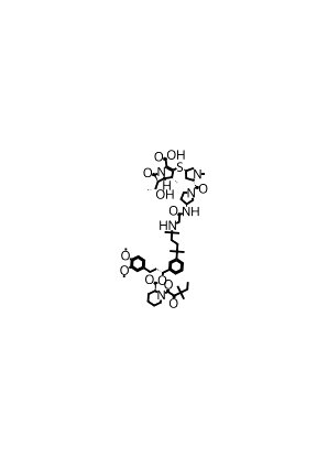 CCC(C)(C)C(=O)C(=O)N1CCCC[C@H]1C(=O)O[C@H](CCc1ccc(OC)c(OC)c1)c1cccc(C(C)(C)CCC(C)(C)NCC(=O)N[C@H]2CCN(C(=O)[C@@H]3C[C@H](SC4=C(C(=O)O)N5C(=O)[C@H]([C@@H](C)O)[C@H]5[C@H]4C)CN3C)C2)c1